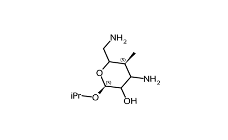 CC(C)O[C@H]1OC(CN)[C@@H](C)C(N)C1O